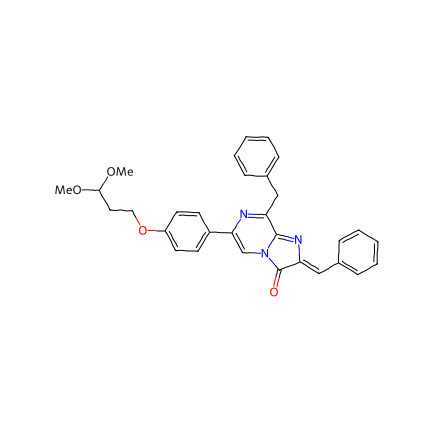 COC(CCOc1ccc(C2=CN3C(=O)/C(=C/c4ccccc4)N=C3C(Cc3ccccc3)=N2)cc1)OC